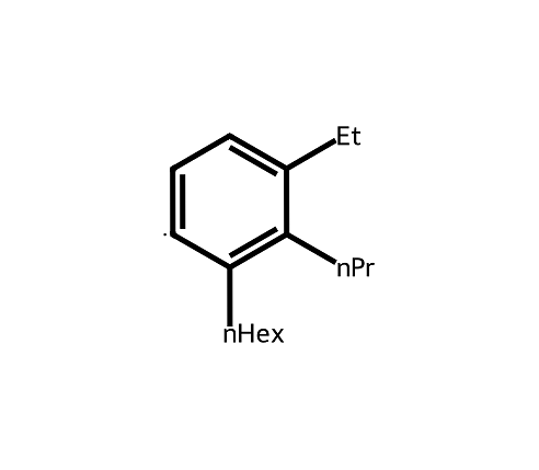 CCCCCCc1[c]ccc(CC)c1CCC